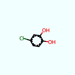 Oc1ccc(Cl)cc1O